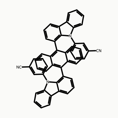 N#Cc1cccc(-n2c3ccccc3c3cccc(-c4c5ccccc5c(-c5cccc6c7ccccc7n(-c7cccc(C#N)c7)c56)c5ccccc45)c32)c1